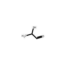 CC(S)[C]=O